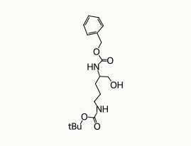 CC(C)(C)OC(=O)NCCCC(CO)NC(=O)OCc1ccccc1